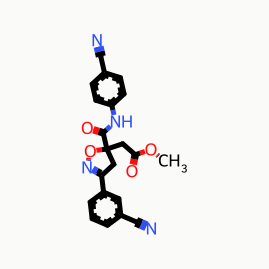 COC(=O)CC1(C(=O)Nc2ccc(C#N)cc2)CC(c2cccc(C#N)c2)=NO1